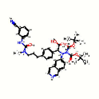 CN(CCCc1ccc(C(C(=O)O)N(c2ccc3cnccc3c2)N(C(=O)OC(C)(C)C)C(=O)OC(C)(C)C)cc1)C(=O)Nc1cccc(C#N)c1